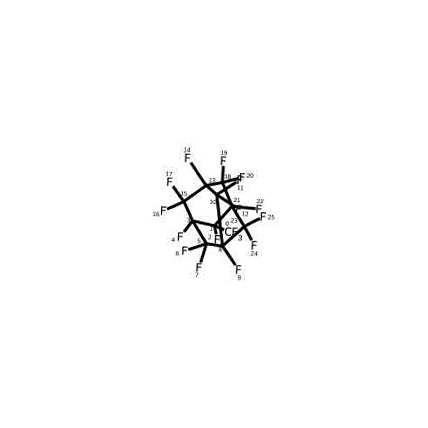 FC(F)(F)C1(F)C2(F)C(F)(F)C3(F)C(F)(F)C(F)(C2(F)F)C(F)(F)C1(F)C3(F)F